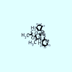 CC(C)OC(=O)C(C)NP(=S)(Oc1ccccc1)Sc1ccccn1